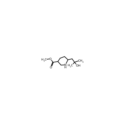 COC(=O)C1CCC(CC(C)(C)O)NC1